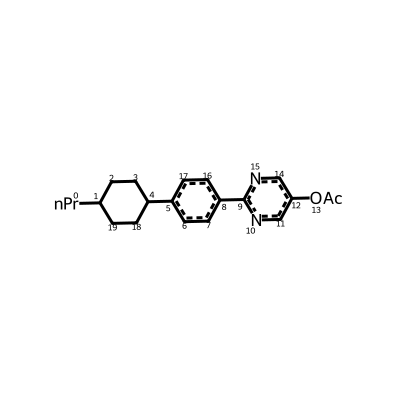 CCCC1CCC(c2ccc(-c3ncc(OC(C)=O)cn3)cc2)CC1